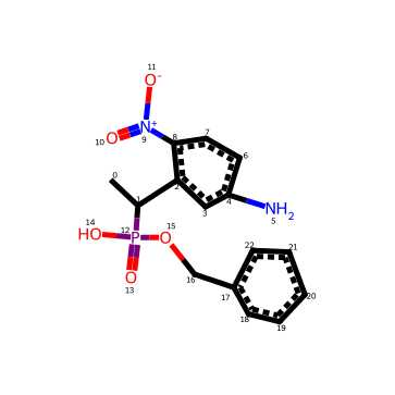 CC(c1cc(N)ccc1[N+](=O)[O-])P(=O)(O)OCc1ccccc1